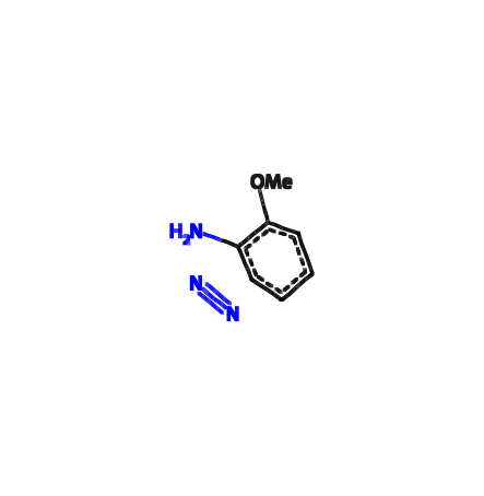 COc1ccccc1N.N#N